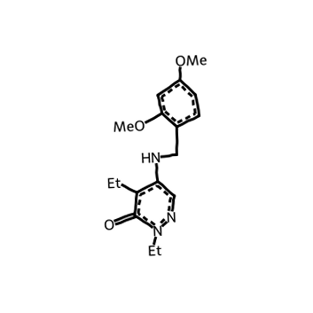 CCc1c(NCc2ccc(OC)cc2OC)cnn(CC)c1=O